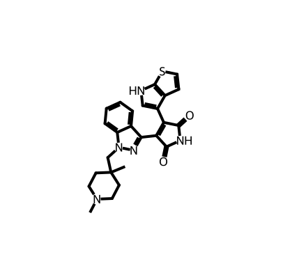 CN1CCC(C)(Cn2nc(C3=C(c4c[nH]c5sccc45)C(=O)NC3=O)c3ccccc32)CC1